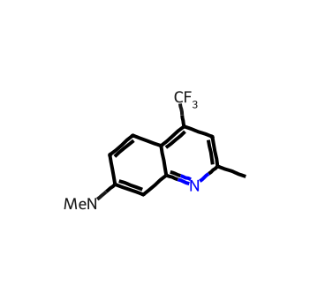 CNc1ccc2c(C(F)(F)F)cc(C)nc2c1